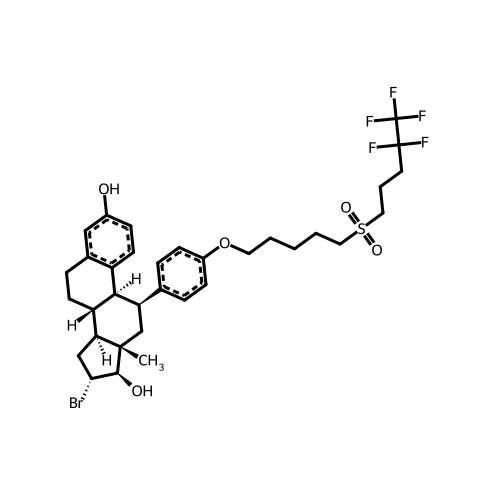 C[C@]12C[C@H](c3ccc(OCCCCCS(=O)(=O)CCCC(F)(F)C(F)(F)F)cc3)[C@@H]3c4ccc(O)cc4CC[C@H]3[C@@H]1C[C@@H](Br)[C@@H]2O